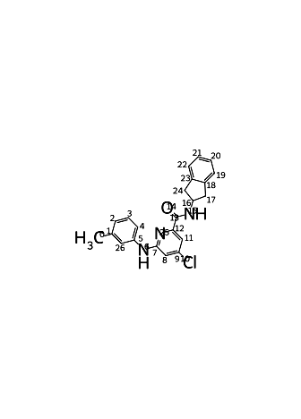 Cc1cccc(Nc2cc(Cl)cc(C(=O)NC3Cc4ccccc4C3)n2)c1